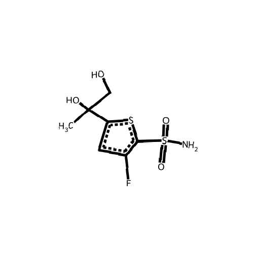 CC(O)(CO)c1cc(F)c(S(N)(=O)=O)s1